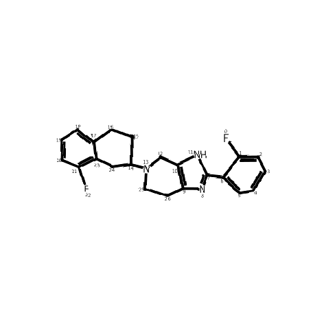 Fc1ccccc1-c1nc2c([nH]1)CN(C1CCc3cccc(F)c3C1)CC2